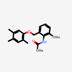 COC(=O)Nc1c(COc2cc(C)c(C)cc2C)cccc1OC